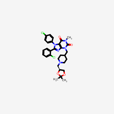 Cn1c(=O)c2c(nc(-c3ccccc3Cl)n2-c2ccc(Cl)cc2)n(CC2CCN(C[C@H]3COC(C)(C)O3)CC2)c1=O